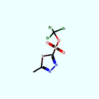 Cc1nnc(S(=O)(=O)OC(Br)(Br)Br)s1